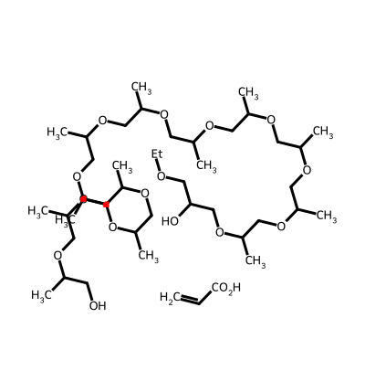 C=CC(=O)O.CCOCC(O)COC(C)COC(C)COC(C)COC(C)COC(C)COC(C)COC(C)COC(C)COC(C)COC(C)COC(C)COC(C)CO